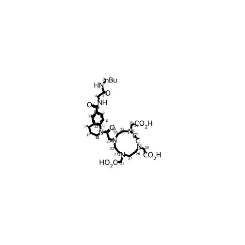 CCCCNC(=O)CNC(=O)c1ccc2c(c1)CCCN2C(=O)CN1CCN(CC(=O)O)CCN(CC(=O)O)CCN(CC(=O)O)CC1